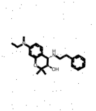 CCN(C)c1ccc2c(c1)OC(C)(C)[C@H](O)[C@H]2NCCc1ccccc1